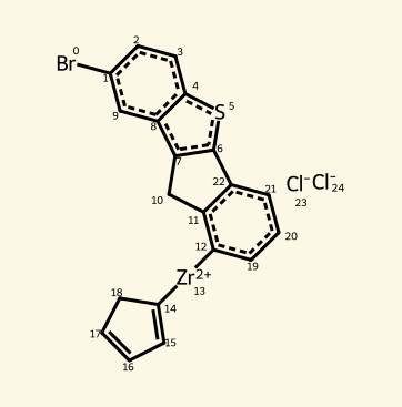 Brc1ccc2sc3c(c2c1)Cc1[c]([Zr+2][C]2=CC=CC2)cccc1-3.[Cl-].[Cl-]